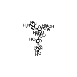 Nc1ncnc2c1ccn2[C@@H]1O[C@H](COP(=O)(O)O)C(OP(=O)(O)OC[C@H]2O[C@@H](n3cnc4c(=O)[nH]cnc43)C[C@@H]2O)[C@H]1O